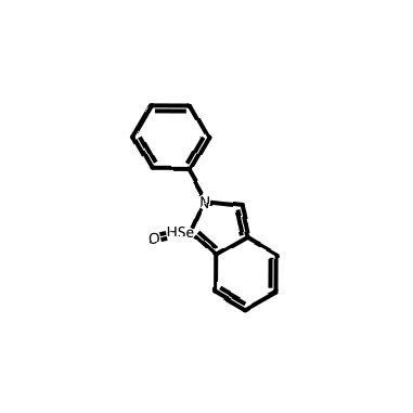 O=[SeH]1=c2ccccc2=CN1c1ccccc1